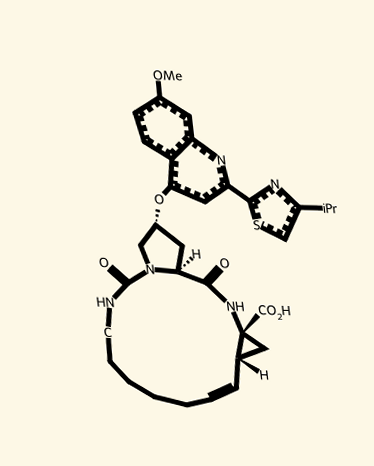 COc1ccc2c(O[C@@H]3C[C@H]4C(=O)N[C@]5(C(=O)O)C[C@@H]5/C=C\CCCCCNC(=O)N4C3)cc(-c3nc(C(C)C)cs3)nc2c1